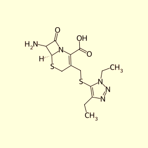 CCc1nnn(CC)c1SCC1=C(C(=O)O)N2C(=O)C(N)[C@@H]2SC1